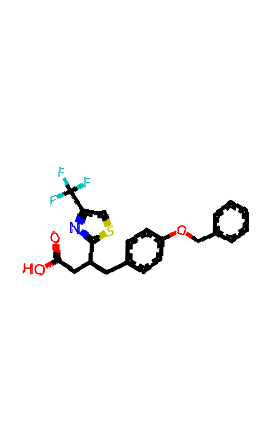 O=C(O)CC(Cc1ccc(OCc2ccccc2)cc1)c1nc(C(F)(F)F)cs1